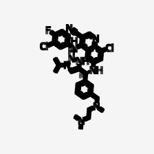 CC(C)N1C=C([C@@H](Nc2cc(Cl)c3ncc(C#N)c(Nc4ccc(F)c(Cl)c4)c3c2)c2cccc(CN(C)CCN(C)C)c2)NN1